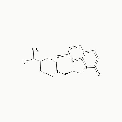 CC(C)C1CCN(C[C@@H]2Cn3c(=O)ccc4ccc(=O)n2c43)CC1